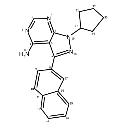 Nc1ncnc2c1c(-c1ccc3ccccc3c1)nn2C1CCCC1